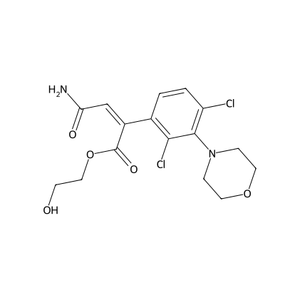 NC(=O)C=C(C(=O)OCCO)c1ccc(Cl)c(N2CCOCC2)c1Cl